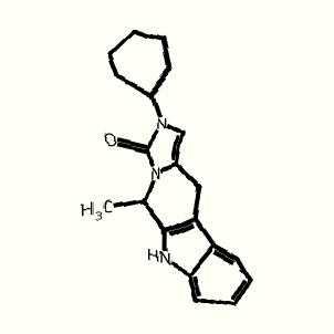 CC1c2[nH]c3ccccc3c2Cc2cn(C3CCCCC3)c(=O)n21